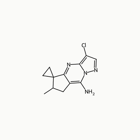 CC1Cc2c(nc3c(Cl)cnn3c2N)C12CC2